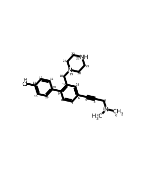 CN(C)CC#Cc1ccc(-c2ccc(Cl)cc2)c(CN2CCNCC2)c1